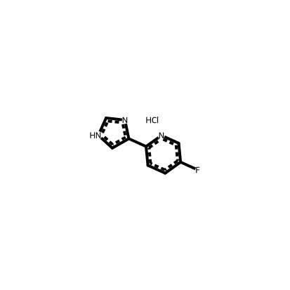 Cl.Fc1ccc(-c2c[nH]cn2)nc1